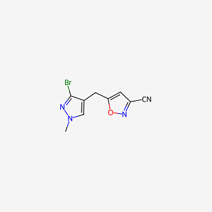 Cn1cc(Cc2cc(C#N)no2)c(Br)n1